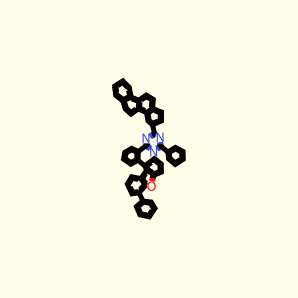 c1ccc(-c2nc(-c3ccc4ccc5c6ccccc6ccc5c4c3)nc(-c3ccccc3-c3cccc4oc5c(-c6ccccc6)cccc5c34)n2)cc1